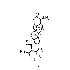 CC(C)N(C(=O)[C@H]1CC[C@H]2[C@@H]3C=CC4=C(N)C(=O)CC[C@]4(C)[C@H]3CC[C@]12C)C(C)C